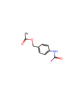 CC(C)C(=O)OCc1ccc(NC(=O)I)cc1